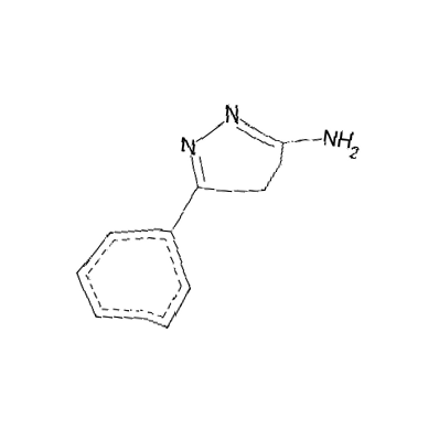 NC1=NN=C(c2ccccc2)C1